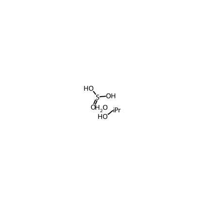 CC(C)O.O.O=S(O)O